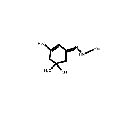 CC1=CC(=NNC(C)(C)C)CC(C)(C)C1